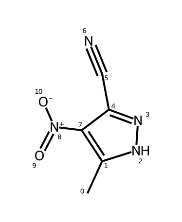 Cc1[nH]nc(C#N)c1[N+](=O)[O-]